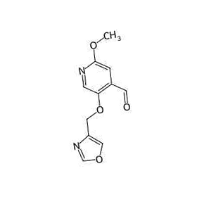 COc1cc(C=O)c(OCc2cocn2)cn1